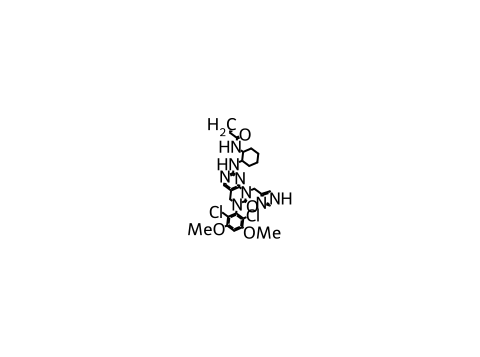 C=CC(=O)NC1CCCCC1Nc1ncc2c(n1)N(Cc1c[nH]cn1)C(=O)N(c1c(Cl)c(OC)cc(OC)c1Cl)C2